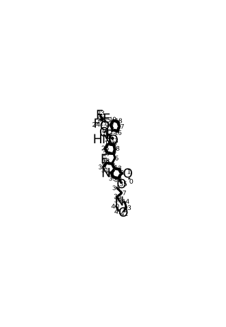 COc1cc2c(Cc3ccc(NS(=O)(=O)c4ccccc4OC(F)(F)F)cc3F)ccnc2cc1OCCCN1CCOCC1